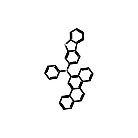 c1ccc(N(c2ccc3c(c2)sc2ccccc23)c2cc3c4ccccc4ccc3c3ccccc23)cc1